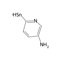 Nc1cc[c]([SnH])nc1